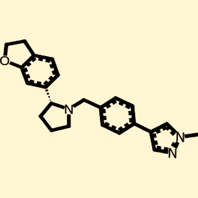 Cn1cc(-c2ccc(CN3CCC[C@@H]3c3ccc4c(c3)OCC4)cc2)cn1